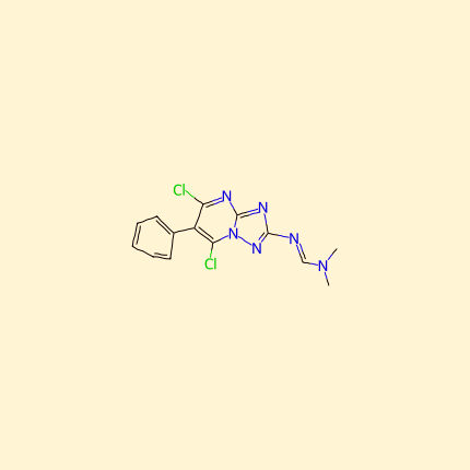 CN(C)C=Nc1nc2nc(Cl)c(-c3ccccc3)c(Cl)n2n1